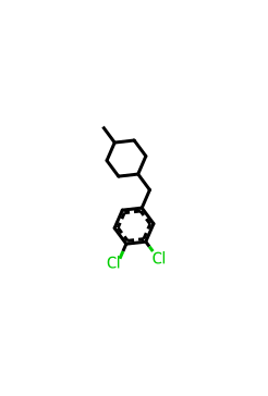 CC1CCC(Cc2ccc(Cl)c(Cl)c2)CC1